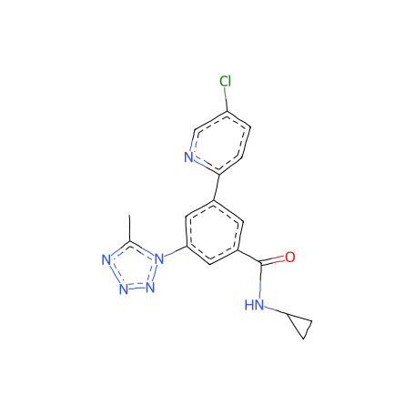 Cc1nnnn1-c1cc(C(=O)NC2CC2)cc(-c2ccc(Cl)cn2)c1